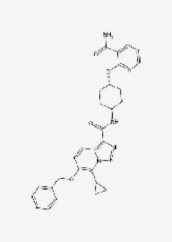 NC(=O)c1cccnc1O[C@H]1CC[C@H](NC(=O)c2nnn3c(C4CC4)c(OCc4ccccc4)ccc23)CC1